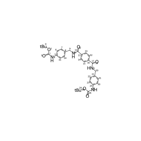 CC(C)(C)OC(=O)Nc1ccc(CNC(=O)c2ccc(C(=O)NCc3ccc(NC(=O)OC(C)(C)C)cc3)cc2)cc1